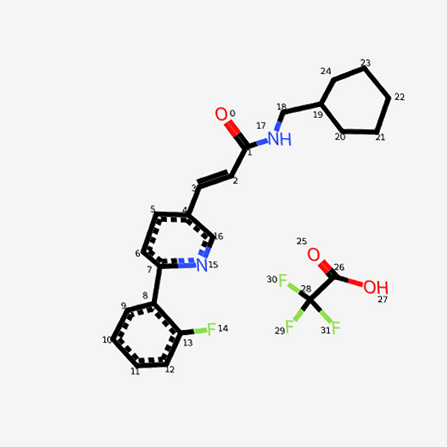 O=C(C=Cc1ccc(-c2ccccc2F)nc1)NCC1CCCCC1.O=C(O)C(F)(F)F